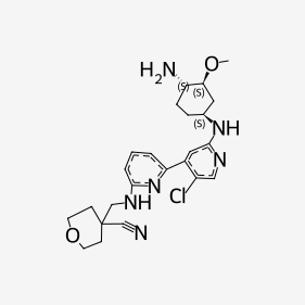 CO[C@H]1C[C@@H](Nc2cc(-c3cccc(NCC4(C#N)CCOCC4)n3)c(Cl)cn2)CC[C@@H]1N